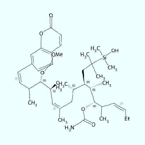 CC/C=C\C(C)[C@H](OC(N)=O)[C@@H](C)[C@H](CC(C)(C)[Si](C)(C)O)[C@@H](C)C/C(C)=C\[C@H](C)[C@@H](OCOC)C(C)/C=C\c1ccc2ccc(=O)oc2c1